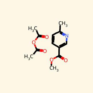 CC(=O)OC(C)=O.COC(=O)c1ccc(C)nc1